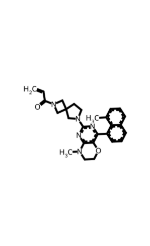 C=CC(=O)N1CC2(CCN(c3nc(-c4cccc5cccc(C)c45)c4c(n3)N(C)CCO4)C2)C1